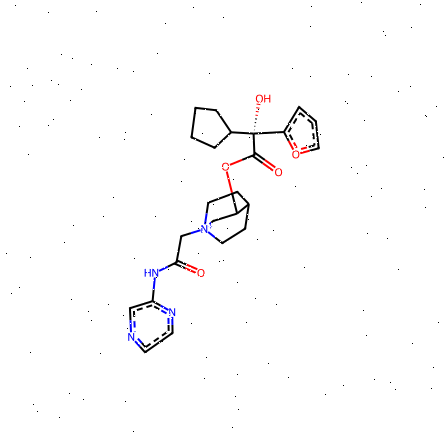 O=C(C[N+]12CCC(CC1)C(OC(=O)[C@](O)(c1ccco1)C1CCCC1)C2)Nc1cnccn1